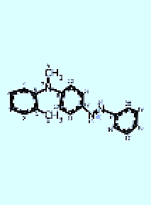 Cc1ccccc1N(C)c1ccc(/N=N/c2ccccc2)cc1